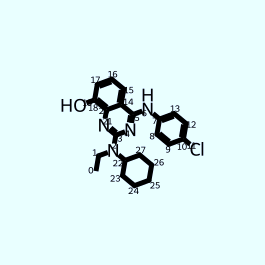 CCN(c1nc(Nc2ccc(Cl)cc2)c2cccc(O)c2n1)C1CCCCC1